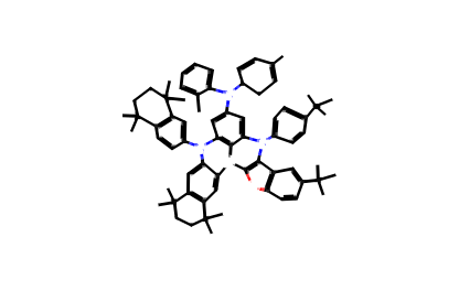 CC1=CCC(N(c2cc3c4c(c2)N(c2ccc(C(C)(C)C)cc2)c2c(oc5ccc(C(C)(C)C)cc25)B4c2cc4c(cc2N3c2ccc3c(c2)C(C)(C)CCC3(C)C)C(C)(C)CCC4(C)C)c2ccccc2C)C=C1